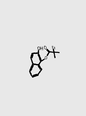 CCC(C)(C)C(=O)Oc1c(O)ccc2ccccc12